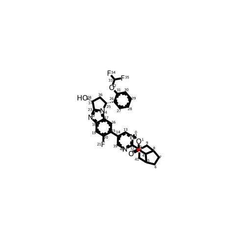 COC(=O)C1C2CCC1CN(c1ncc(-c3cc4c(cc3F)nc3n4[C@@H](c4ccccc4OC(F)F)C[C@H]3O)cn1)C2